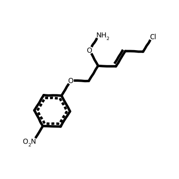 NOC(C=CCCl)COc1ccc([N+](=O)[O-])cc1